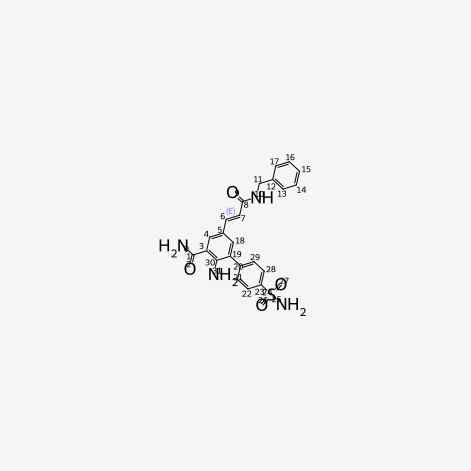 NC(=O)c1cc(/C=C/C(=O)NCc2ccccc2)cc(-c2ccc(S(N)(=O)=O)cc2)c1N